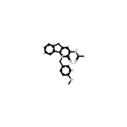 COc1ccc(Cn2c3c(cc(OC(C)=O)c2=O)Cc2ccccc2-3)cc1